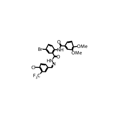 COc1ccc(C(=O)Nc2ccc(Br)cc2C(=O)N/N=C\c2ccc(Cl)c(C(F)(F)F)c2)cc1OC